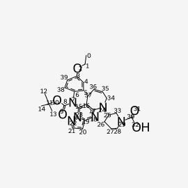 CCOc1ccc(N(C(=O)OC(C)(C)C)c2c3c(nc4ccnn24)N([C@H]2CCCN(C(=O)O)C2)CC=CC3)cc1